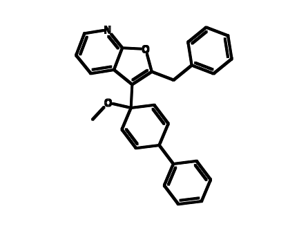 COC1(c2c(Cc3ccccc3)oc3ncccc23)C=CC(c2ccccc2)C=C1